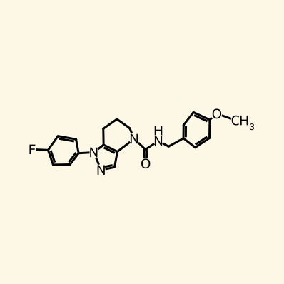 COc1ccc(CNC(=O)N2CCCc3c2cnn3-c2ccc(F)cc2)cc1